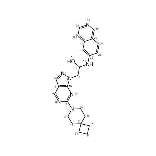 OC(Cn1ncc2cnc(N3CCC4(CCC4)CC3)nc21)Nc1ccc2cncnc2c1